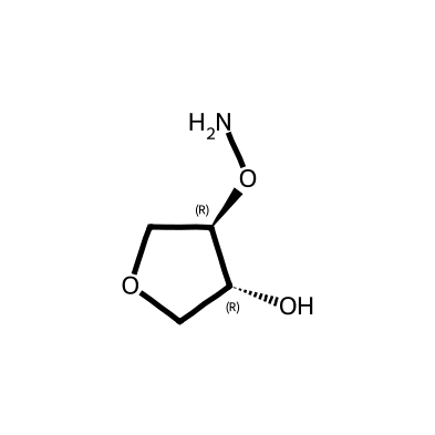 NO[C@@H]1COC[C@H]1O